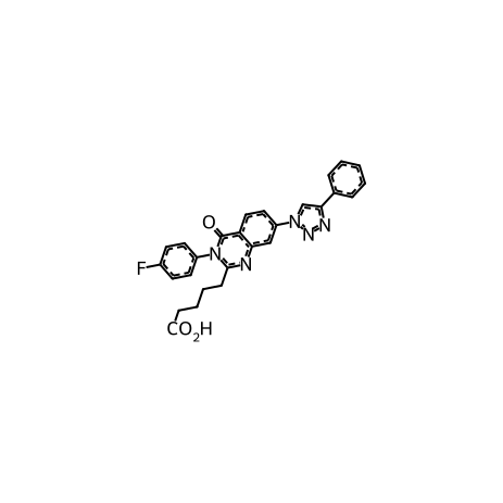 O=C(O)CCCCc1nc2cc(-n3cc(-c4ccccc4)nn3)ccc2c(=O)n1-c1ccc(F)cc1